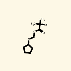 CCC(C)(C(=O)OCOC1CCCC1)C(F)(F)F